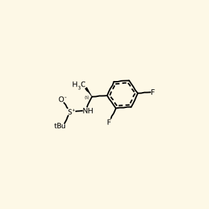 C[C@H](N[S+]([O-])C(C)(C)C)c1ccc(F)cc1F